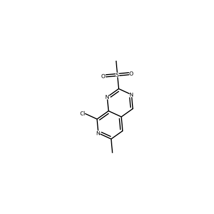 Cc1cc2cnc(S(C)(=O)=O)nc2c(Cl)n1